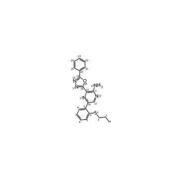 CCCSc1ccccc1-c1cnc(N)c(-c2nnc(-c3ccccc3)o2)n1